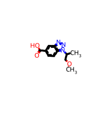 COCC(C)n1nnc2cc(C(=O)O)ccc21